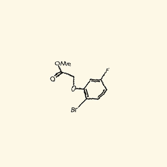 COC(=O)COc1cc(F)ccc1Br